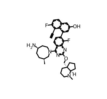 C#Cc1c(F)ccc2cc(O)cc(-c3ccc4c(N5CC[C@H](N)CC[C@H](C)C5)nc(OC[C@]56CCC[C@H]5N(C)CCC6)nc4c3F)c12